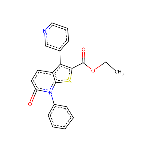 CCOC(=O)c1sc2c(ccc(=O)n2-c2ccccc2)c1-c1cccnc1